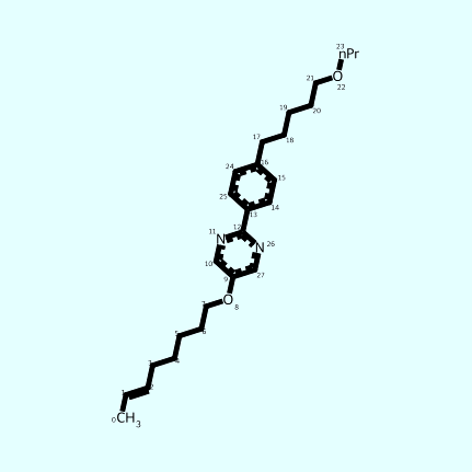 C/C=C/CCCCCOc1cnc(-c2ccc(CCCCCOCCC)cc2)nc1